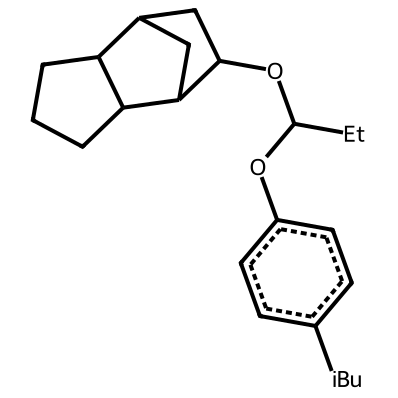 CCC(Oc1ccc(C(C)CC)cc1)OC1CC2CC1C1CCCC21